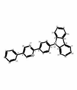 c1ccc(-c2cnc(-c3ccc(-n4c5ccccc5c5ccccc54)cc3)nc2)cc1